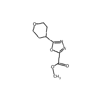 COC(=O)c1nnc(C2CCOCC2)o1